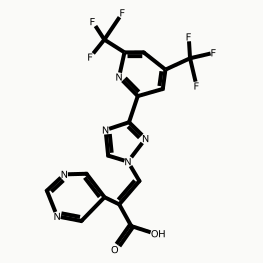 O=C(O)/C(=C/n1cnc(-c2cc(C(F)(F)F)cc(C(F)(F)F)n2)n1)c1cncnc1